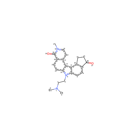 CCN(CC)CCn1c2ccc3c(c2c2c4ccn(C)c(=O)c4ccc21)CCC3=O